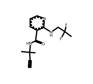 C#CC(C)(C)NC(=O)c1cccnc1NCC(C)(F)F